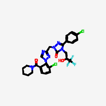 O=C(c1cccc(Cl)c1-n1cnc(Cn2nc(-c3ccc(Cl)cc3)n(CC(O)C(F)(F)F)c2=O)n1)N1CCCCC1